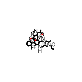 C=CC(=O)N1CC2CNc3c(F)c(-c4c(O)cccc4F)c(Cl)c4c3c(nc(=O)n4-c3c(C(C)C)ncnc3C(C)C)N2CC1C